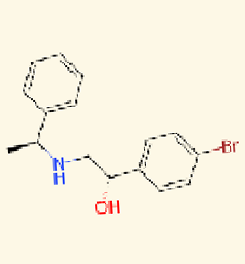 C[C@H](NC[C@@H](O)c1ccc(Br)cc1)c1ccccc1